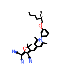 CCCCC(CC)COc1cccc(N2C(C)=CC(=CC3=C(C#N)C(=C(C#N)C#N)OC3(C)C)C=C2C)c1